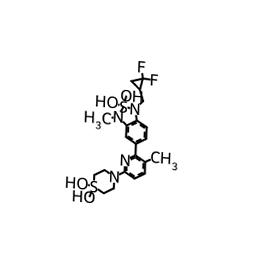 Cc1ccc(N2CCS(O)(O)CC2)nc1-c1ccc2c(c1)N(C)S(O)(O)N2CC1CC1(F)F